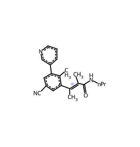 CCCNC(=O)/C(C)=C(\C)c1cc(C#N)cc(-c2cccnc2)c1C